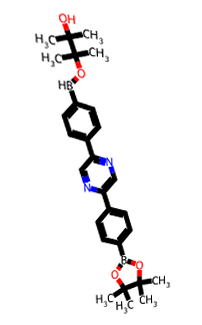 CC(C)(O)C(C)(C)OBc1ccc(-c2cnc(-c3ccc(B4OC(C)(C)C(C)(C)O4)cc3)cn2)cc1